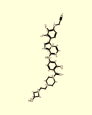 N#CCOc1ccc(-c2cnc3c(Nc4ccc(C(=O)N5CCN(CCN6CC(O)C6)CC5)c(Cl)c4)nccn23)c(F)c1F